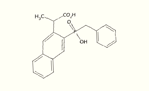 CC(C(=O)O)c1cc2ccccc2cc1P(=O)(O)Cc1ccccc1